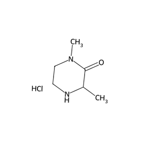 CC1NCCN(C)C1=O.Cl